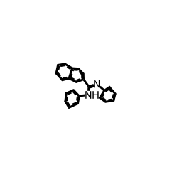 c1ccc(N=C(Nc2ccccc2)c2ccc3ccccc3c2)cc1